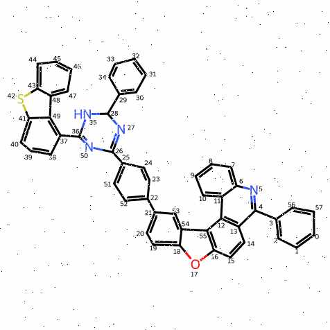 c1ccc(-c2nc3ccccc3c3c2ccc2oc4ccc(-c5ccc(C6=NC(c7ccccc7)NC(c7cccc8sc9ccccc9c78)=N6)cc5)cc4c23)cc1